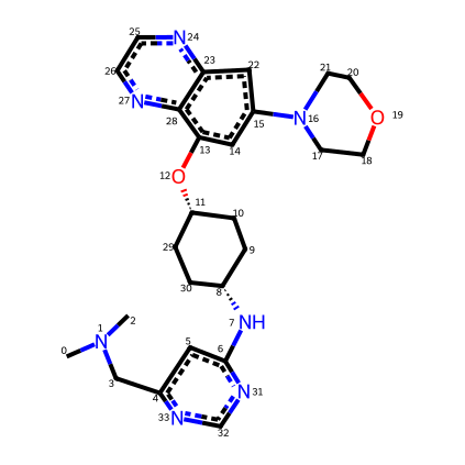 CN(C)Cc1cc(N[C@H]2CC[C@@H](Oc3cc(N4CCOCC4)cc4nccnc34)CC2)ncn1